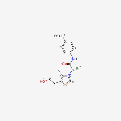 CCOC(=O)c1ccc(NC(=O)C[n+]2csc(CCO)c2C)cc1.[Br-]